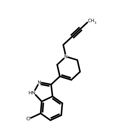 CC#CCN1CCC=C(c2n[nH]c3c(Cl)cccc23)C1